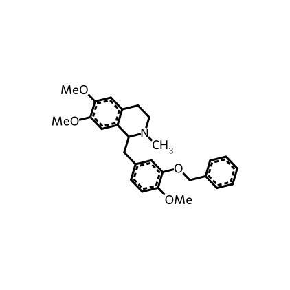 COc1cc2c(cc1OC)C(Cc1ccc(OC)c(OCc3ccccc3)c1)N(C)CC2